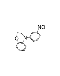 O=Nc1cccc(N2CCOc3ccccc32)c1